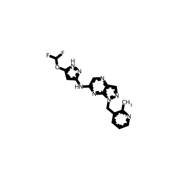 Cc1ncccc1Cn1ncc2ncc(Nc3cc(OC(F)F)[nH]n3)nc21